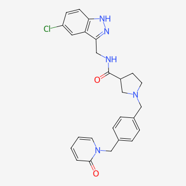 O=C(NCc1n[nH]c2ccc(Cl)cc12)C1CCN(Cc2ccc(Cn3ccccc3=O)cc2)C1